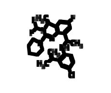 C=C(C)c1cc(Cl)ccc1NC(C)c1cc(F)cc2c1N=C(N1CCCCC1)N(C(F)F)C2=C